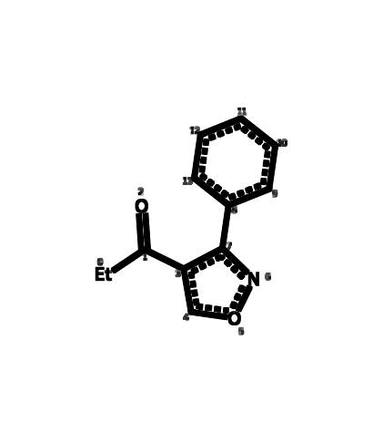 CCC(=O)c1conc1-c1ccccc1